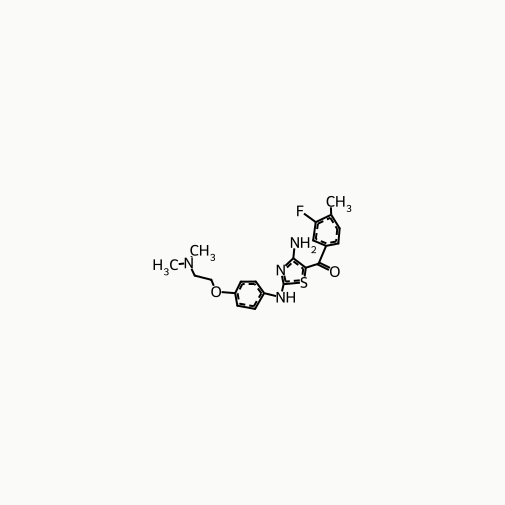 Cc1ccc(C(=O)c2sc(Nc3ccc(OCCN(C)C)cc3)nc2N)cc1F